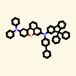 C1=CC2=CC(N(c3ccc(-c4ccccc4)cc3)c3ccc4c(c3)C(c3ccccc3)(c3ccccc3)c3ccccc3-4)=CC3OC4=C(CC(N(c5ccccc5)c5ccccc5)C=C4)C(=C1)C23